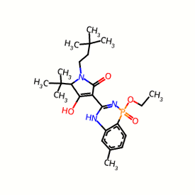 CCOP1(=O)N=C(C2=C(O)C(C(C)(C)C)N(CCC(C)(C)C)C2=O)Nc2cc(C)ccc21